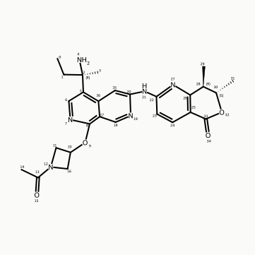 CC[C@@](C)(N)c1cnc(OC2CN(C(C)=O)C2)c2cnc(Nc3ccc4c(n3)[C@@H](C)[C@H](C)OC4=O)cc12